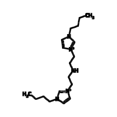 CCCCn1cc[n+](CCNCC[n+]2ccn(CCCC)c2)c1